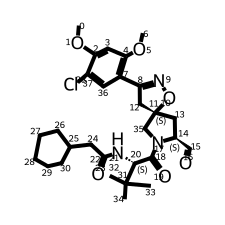 COc1cc(OC)c(C2=NO[C@]3(C2)C[C@@H](C=O)N(C(=O)[C@@H](NC(=O)CC2CCCCC2)C(C)(C)C)C3)cc1Cl